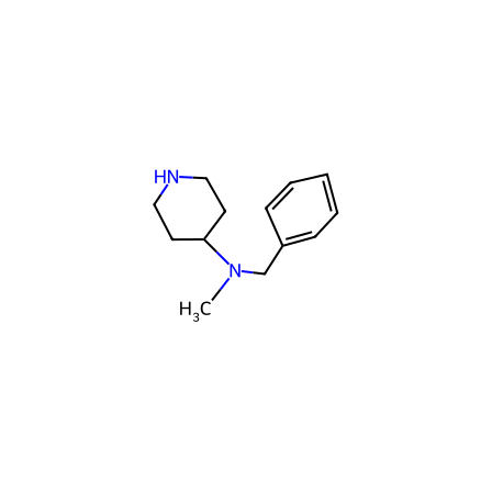 CN(Cc1ccccc1)C1CCNCC1